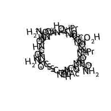 CC(=O)NC1CSSCC(C(N)=O)NC(=O)CNC(=O)C(CC(N)=O)NC(=O)C(C)NC(=O)C(CC(C)C)NC(=O)C(CC(=O)O)NC(=O)C(CC(C)C)NC(=O)C(CCC(N)=O)NC(=O)CNC1=O